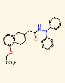 O=C(O)COc1cccc2c1CCC(CC(=O)NN(c1ccccc1)c1ccccc1)C2